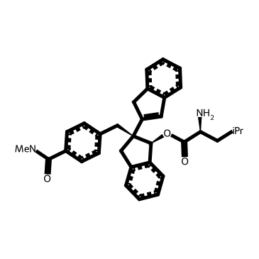 CNC(=O)c1ccc(C[C@]2(C3=Cc4ccccc4C3)Cc3ccccc3[C@@H]2OC(=O)[C@@H](N)CC(C)C)cc1